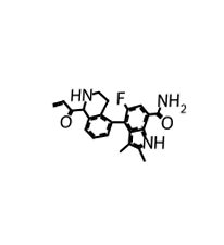 C=CC(=O)C1NCCc2c(-c3c(F)cc(C(N)=O)c4[nH]c(C)c(C)c34)cccc21